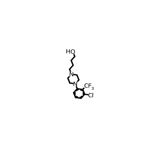 OCCCCN1CCN(c2cccc(Cl)c2C(F)(F)F)CC1